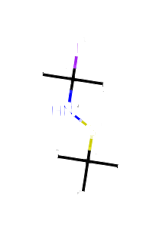 CC(C)(I)NSC(C)(C)C